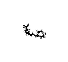 CC(=O)c1ccc(CCCN2CCOCC2)o1